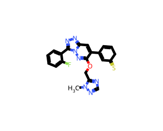 Cn1ncnc1COc1nn2c(-c3ccccc3F)nnc2cc1C1=CC(=S)CC=C1